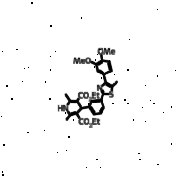 CCOC(=O)C1=C(C)NC(C)=C(C(=O)OCC)C1c1cccc(-c2nc(-c3ccc(OC)c(OC)c3)c(C)s2)c1